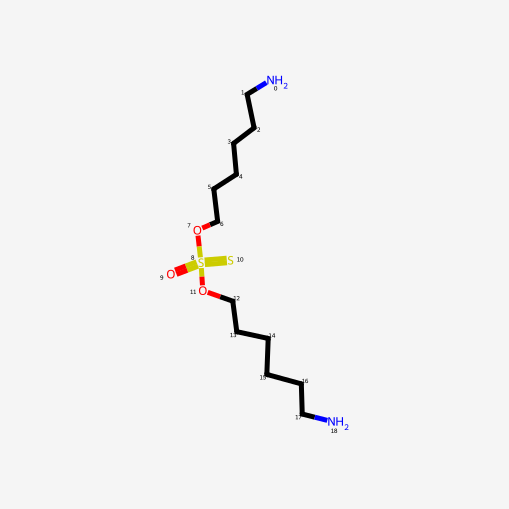 NCCCCCCOS(=O)(=S)OCCCCCCN